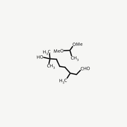 CC(CC=O)CCCC(C)(C)O.COC(C)OC